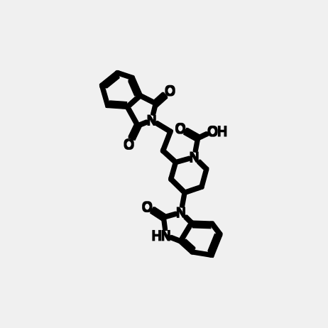 O=C1c2ccccc2C(=O)N1CCC1CC(n2c(=O)[nH]c3ccccc32)CCN1C(=O)O